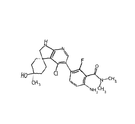 CN(C)C(=O)c1c(N)ccc(-c2cnc3c(c2Cl)[C@]2(CC[C@](C)(O)CC2)CN3)c1F